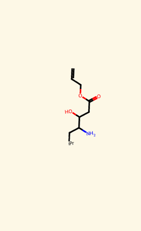 C=CCOC(=O)CC(O)C(N)CC(C)C